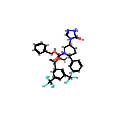 C[C@@H](OC[C@@]1(c2ccccc2)CCC(n2cn[nH]c2=O)CN1C(=O)OCc1ccccc1)c1cc(C(F)(F)F)cc(C(F)(F)F)c1